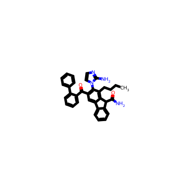 CCCCc1c2c(cc(C(=O)c3ccccc3-c3ccccc3)c1-n1ccnc1N)-c1ccccc1C2C(N)=O